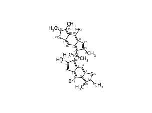 CC1=Cc2c(Br)c3c(cc2=C1[Si](C)(C)C1=c2cc4c(c(Br)c2C=C1C)=C(C)C(C)S4)SC(C)C=3C